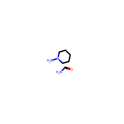 NC=O.NN1CCCCC1